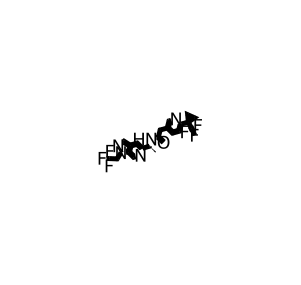 C[C@@H](NC(=O)Cc1ccc(C2(C(F)(F)F)CC2)nc1)c1cc2cnn(CC(F)(F)F)c2cn1